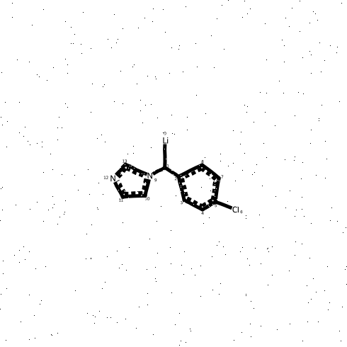 [Li][CH](c1ccc(Cl)cc1)n1ccnc1